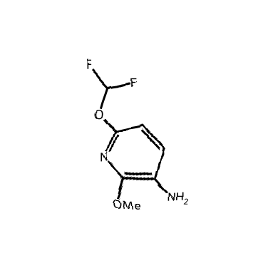 COc1nc(OC(F)F)ccc1N